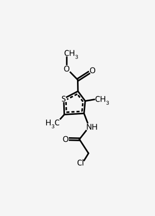 COC(=O)c1sc(C)c(NC(=O)CCl)c1C